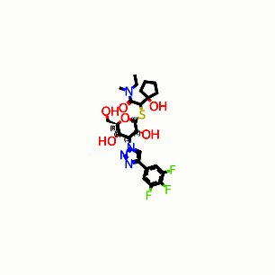 CCN(C)C(=O)C(S[C@@H]1O[C@H](CO)[C@H](O)[C@H](n2cc(-c3cc(F)c(F)c(F)c3)nn2)[C@H]1O)C1(O)CCCC1